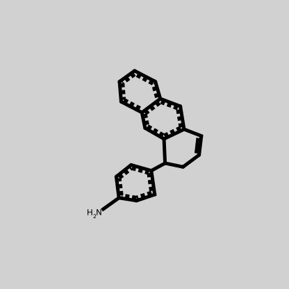 Nc1ccc(C2CC=Cc3cc4ccccc4cc32)cc1